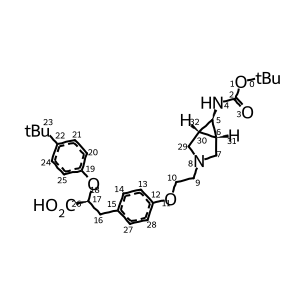 CC(C)(C)OC(=O)N[C@H]1[C@@H]2CN(CCOc3ccc(C[C@H](Oc4ccc(C(C)(C)C)cc4)C(=O)O)cc3)C[C@@H]21